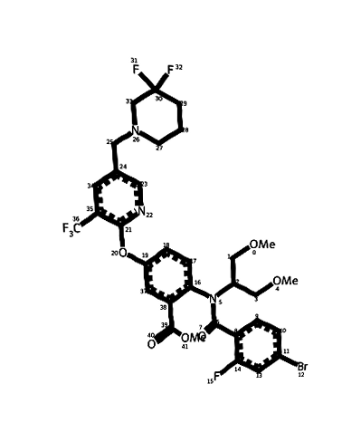 COCC(COC)N(C(=O)c1ccc(Br)cc1F)c1ccc(Oc2ncc(CN3CCCC(F)(F)C3)cc2C(F)(F)F)cc1C(=O)OC